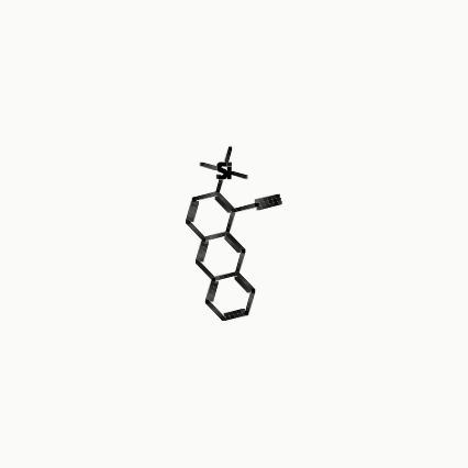 C#Cc1c([Si](C)(C)C)ccc2cc3ccccc3cc12